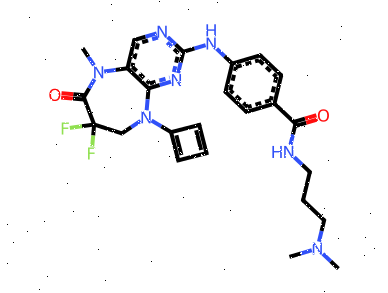 CN(C)CCCNC(=O)c1ccc(Nc2ncc3c(n2)N(C2=CC=C2)CC(F)(F)C(=O)N3C)cc1